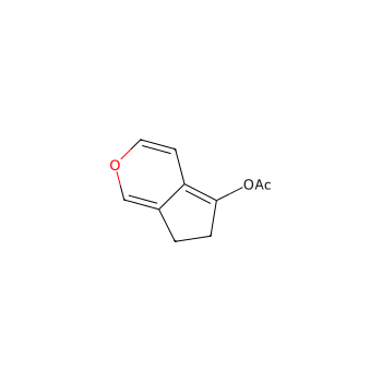 CC(=O)OC1=C2C=COC=C2CC1